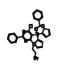 CC(C)CCOc1nc(-c2ccccc2)nc(Cl)[c]1[Ti]([O]C(=O)c1ccccc1)([C]1=CC=CC1)[C]1=CC=CC1